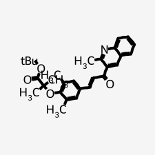 Cc1cc(/C=C/C(=O)c2cc3ccccc3nc2C)cc(C)c1OC(C)(C)C(=O)OC(C)(C)C